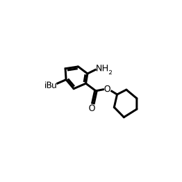 CCC(C)c1ccc(N)c(C(=O)OC2CCCCC2)c1